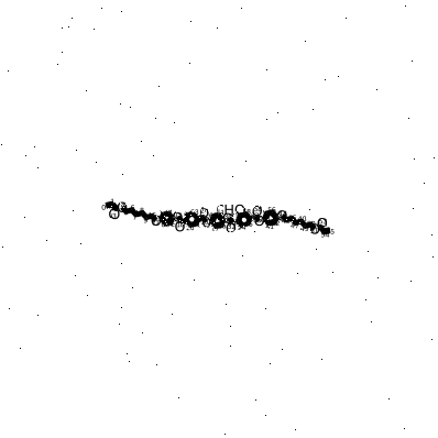 C=CC(=O)OCCCCCCOc1ccc(OC(=O)C2CCC(C(=O)Oc3ccc(OC(=O)[C@H]4CC[C@@H](C(=O)Oc5ccc(OCCCCCCOC(=O)C=C)cc5)CC4)c(C=O)c3)CC2)cc1